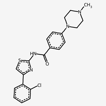 CN1CCN(c2ccc(C(=O)Nc3nc(-c4ccccc4Cl)cs3)cc2)CC1